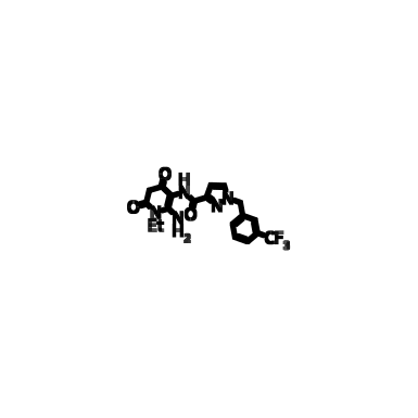 CCN1C(=O)CC(=O)C(NC(=O)c2ccn(Cc3cccc(C(F)(F)F)c3)n2)=C1N